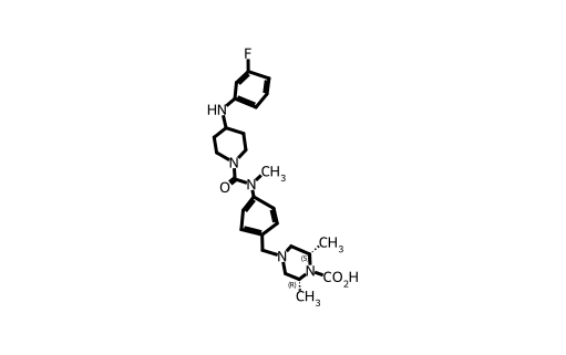 C[C@@H]1CN(Cc2ccc(N(C)C(=O)N3CCC(Nc4cccc(F)c4)CC3)cc2)C[C@H](C)N1C(=O)O